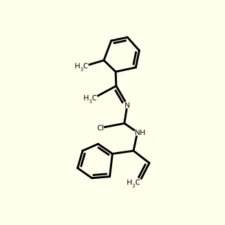 C=CC(NC(Cl)/N=C(\C)C1C=CC=CC1C)c1ccccc1